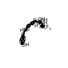 C[C@]12CC[C@@H]3c4ccc(OCCCNC(=O)CN5CCC(N6CCC(C(=O)NC[C@H]7OC[C@H](Nc8cncc(C(F)(F)F)n8)[C@@H](O)[C@H]7O)CC6)CC5)cc4CC[C@H]3[C@@H]1CC[C@@H]2O